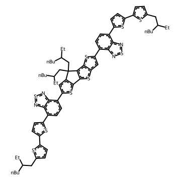 CCCCC(CC)Cc1ccc(-c2ccc(-c3ccc(-c4cc5c(s4)-c4sc6cc(-c7ccc(-c8ccc(-c9ccc(CC(CC)CCCC)s9)s8)c8nsnc78)sc6c4C5(CC(CC)CCCC)CC(CC)CCCC)c4nsnc34)s2)s1